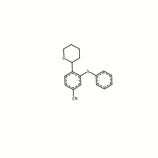 N#Cc1ccc(C2CCCCO2)c(Sc2ccccc2)c1